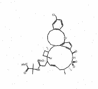 COC(=O)C(C)(C)NC(=O)C[C@]1(OC)/C=C/C[C@H](C)[C@@H](C)S(=O)(=O)NC(=O)c2ccc3c(c2)N(CCCCc2cc(Cl)ccc2CO3)C[C@@H]2CC[C@H]21